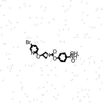 O=C(Oc1ccc([NH+]([O-])O)cc1)N1CC(Oc2ccc(Br)cn2)C1